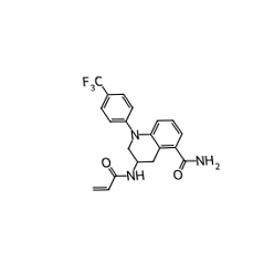 C=CC(=O)NC1Cc2c(C(N)=O)cccc2N(c2ccc(C(F)(F)F)cc2)C1